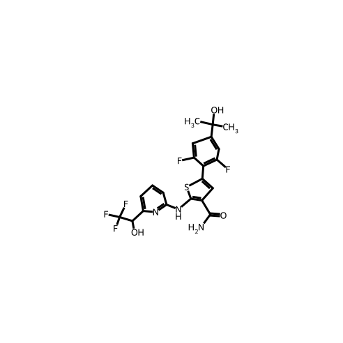 CC(C)(O)c1cc(F)c(-c2cc(C(N)=O)c(Nc3cccc(C(O)C(F)(F)F)n3)s2)c(F)c1